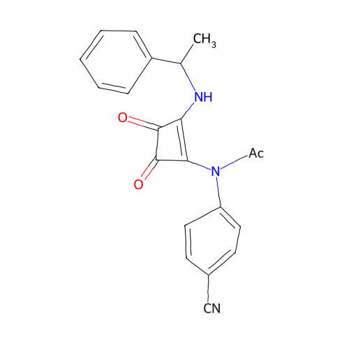 CC(=O)N(c1ccc(C#N)cc1)c1c(NC(C)c2ccccc2)c(=O)c1=O